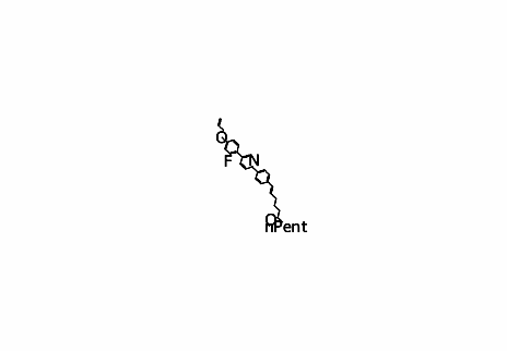 C=CCOc1ccc(-c2ccc(-c3ccc(C=CCCCC(C)OCCCCC)cc3)nc2)c(F)c1